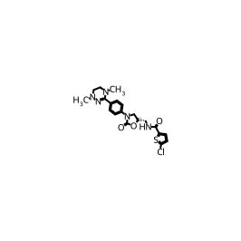 CN1CCN(C)C(c2ccc(N3C[C@H](CNC(=O)c4ccc(Cl)s4)OC3=O)cc2)=N1